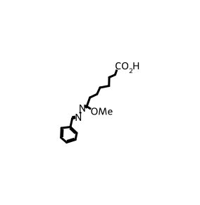 CO/C(CCCCCCC(=O)O)=N\N=C\c1ccccc1